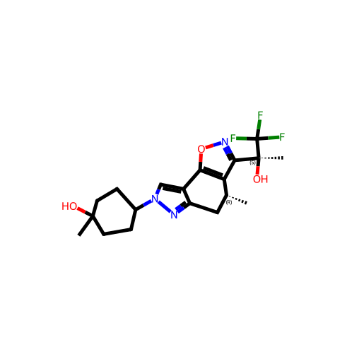 C[C@@H]1Cc2nn(C3CCC(C)(O)CC3)cc2-c2onc([C@](C)(O)C(F)(F)F)c21